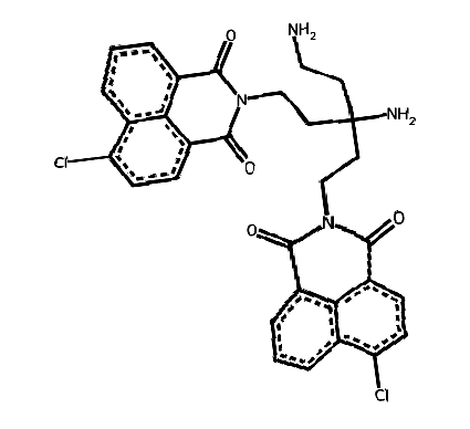 NCCC(N)(CCN1C(=O)c2cccc3c(Cl)ccc(c23)C1=O)CCN1C(=O)c2cccc3c(Cl)ccc(c23)C1=O